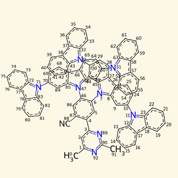 Cc1cc(-c2cc(-n3c4cc(-n5c6ccccc6c6ccccc65)ccc4c4ccc(-n5c6ccccc6c6ccccc65)cc43)c(-n3c4cc(-n5c6ccccc6c6ccccc65)ccc4c4ccc(-n5c6ccccc6c6ccccc65)cc43)cc2C#N)nc(C)n1